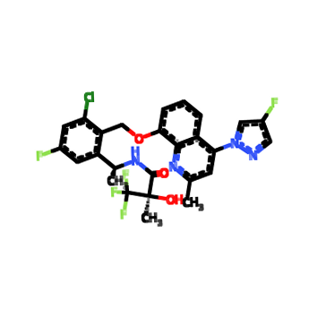 Cc1cc(-n2cc(F)cn2)c2cccc(OCc3c(Cl)cc(F)cc3[C@H](C)NC(=O)[C@@](C)(O)C(F)(F)F)c2n1